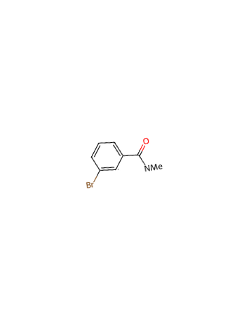 CNC(=O)c1[c]c(Br)ccc1